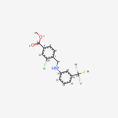 COC(=O)c1ccc(CNc2cccc(C(F)(F)F)c2)c(F)c1